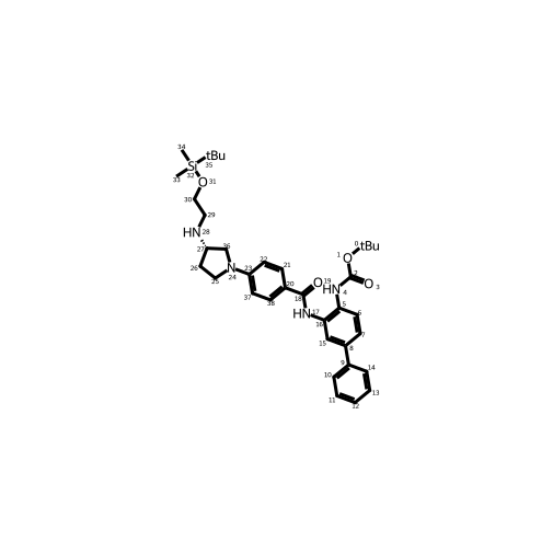 CC(C)(C)OC(=O)Nc1ccc(-c2ccccc2)cc1NC(=O)c1ccc(N2CC[C@H](NCCO[Si](C)(C)C(C)(C)C)C2)cc1